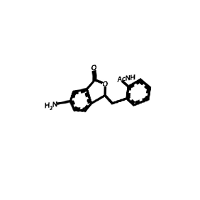 CC(=O)Nc1ccccc1CC1OC(=O)c2cc(N)ccc21